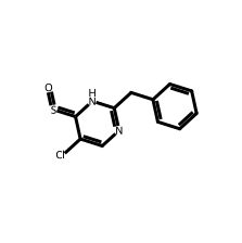 O=S=c1[nH]c(Cc2ccccc2)ncc1Cl